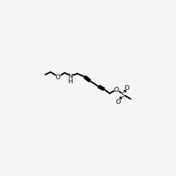 CCOCNCC#CC#CCOS(C)(=O)=O